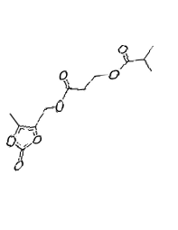 Cc1oc(=O)oc1COC(=O)CCOC(=O)C(C)C